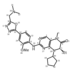 CC[C@@H]1C(=O)N(C)c2cnc(Nc3ccc(-c4nnc(CN(C)C)o4)cc3OC)nc2N1C1CCCC1